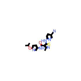 Cc1nsc(Nc2ccc(C#N)cn2)c1C(=O)Nc1ccc(OC(C)C)nc1